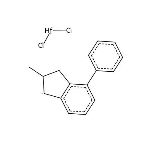 CC1[CH]c2cccc(-c3ccccc3)c2C1.[Cl][Hf][Cl]